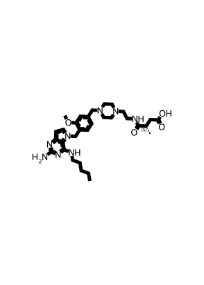 CCCCCNc1nc(N)nc2ccn(Cc3ccc(CN4CCN(CCNC(=O)[C@@H](C)CC(=O)O)CC4)cc3OC)c12